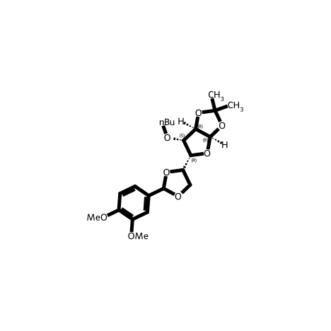 CCCCO[C@@H]1[C@H]2OC(C)(C)O[C@H]2O[C@@H]1C1COC(c2ccc(OC)c(OC)c2)O1